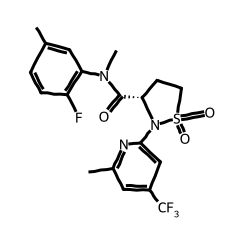 Cc1ccc(F)c(N(C)C(=O)[C@@H]2CCS(=O)(=O)N2c2cc(C(F)(F)F)cc(C)n2)c1